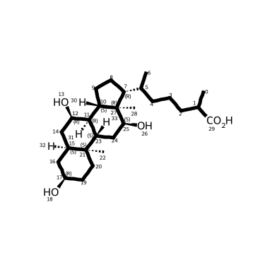 CC(CCCC(C)[C@H]1CC[C@H]2[C@@H]3[C@H](O)C[C@@H]4C[C@H](O)CC[C@]4(C)[C@H]3C[C@H](O)[C@]12C)C(=O)O